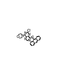 CN(c1c2ccccc2cc2ccccc12)c1ncnc2c(N3CCOCC3)nc(Cl)nc12